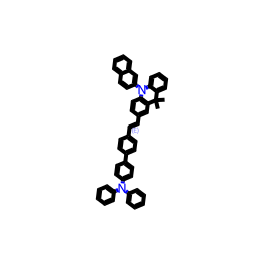 CC1(C)c2ccccc2N(c2ccc3ccccc3c2)c2ccc(/C=C/c3ccc(-c4ccc(N(c5ccccc5)c5ccccc5)cc4)cc3)cc21